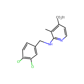 CCOC(=O)c1ccnc(NCc2ccc(Cl)c(Cl)c2)c1C